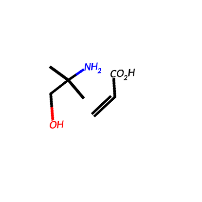 C=CC(=O)O.CC(C)(N)CO